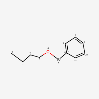 CCCCO[B]c1ccccc1